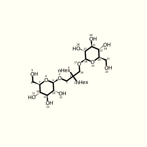 CCCCCCC(CCCCCC)(CO[C@@H]1O[C@H](CO)[C@@H](O)[C@H](O)[C@H]1O)CO[C@@H]1O[C@H](CO)[C@@H](O)[C@H](O)[C@H]1O